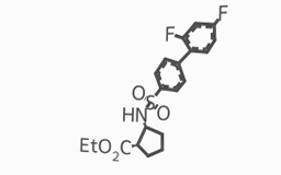 CCOC(=O)[C@@H]1CCC[C@@H]1NS(=O)(=O)c1ccc(-c2ccc(F)cc2F)cc1